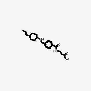 CCCC1CCC(NCc2ccc(C(=O)NCCC(=O)O)cc2)CC1